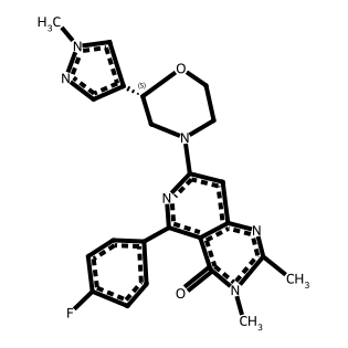 Cc1nc2cc(N3CCO[C@@H](c4cnn(C)c4)C3)nc(-c3ccc(F)cc3)c2c(=O)n1C